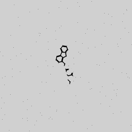 CCC[C@H](NC(=O)OCc1cccc2c1Cc1ccccc1-2)C(=O)O